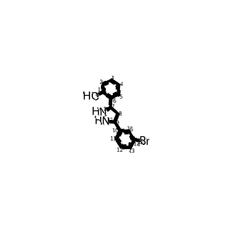 Oc1ccccc1C1CC(c2cccc(Br)c2)NN1